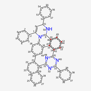 C1=C(c2ccccc2)N=C(c2ccccc2-c2cccc(-c3ccc4ccccc4c3-c3nc(-c4ccccc4)nc(-c4ccccc4)n3)c2)NC1c1ccccc1